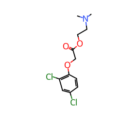 CN(C)CCOC(=O)COc1ccc(Cl)cc1Cl